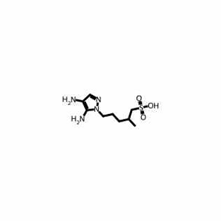 CC(CCCn1ncc(N)c1N)CS(=O)(=O)O